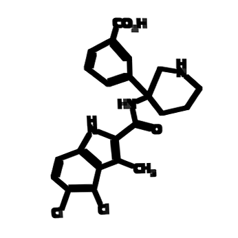 Cc1c(C(=O)NC2(c3cccc(C(=O)O)c3)CCCNC2)[nH]c2ccc(Cl)c(Cl)c12